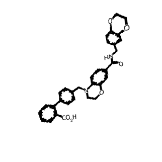 O=C(NCc1ccc2c(c1)OCCO2)c1ccc2c(c1)OCCN2Cc1ccc(-c2ccccc2C(=O)O)cc1